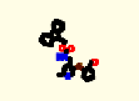 Cc1cc(CNC(=O)OCC2c3ccccc3-c3ccccc32)c(Sc2ccccc2C=O)cn1